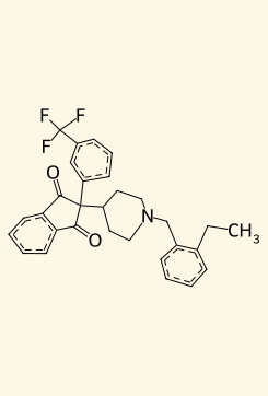 CCc1ccccc1CN1CCC(C2(c3cccc(C(F)(F)F)c3)C(=O)c3ccccc3C2=O)CC1